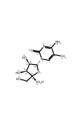 Cc1cn([C@@H]2O[C@@](CO)(S(=O)(=O)O)[C@@H](O)[C@H]2O)c(=O)nc1N